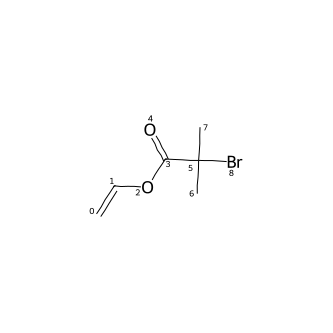 C=COC(=O)C(C)(C)Br